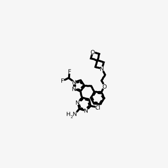 Nc1nc(Cl)cc(-c2nn(C(F)F)cc2Cc2ccccc2OCCN2CC3(COC3)C2)n1